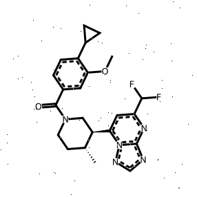 COc1cc(C(=O)N2CC[C@@H](C)[C@H](c3cc(C(F)F)nc4ncnn34)C2)ccc1C1CC1